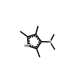 Cc1[nH]c(C)c(N(C)C)c1C